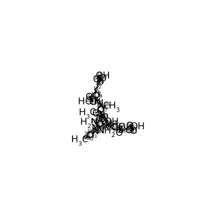 COc1cc(N=Nc2ccc(CCCOS(=O)(=O)O)cc2S(=O)(=O)O)c(C)cc1N=Nc1c(N)c(N=Nc2ccc(C)cc2)c(N)c(N=Nc2ccc(S(=O)(=O)CCOS(=O)(=O)O)cc2)c1C(=O)O